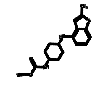 CC(C)(C)OC(=O)N[C@H]1CC[C@@H](Nc2cccc3sc(C(F)(F)F)cc23)CC1